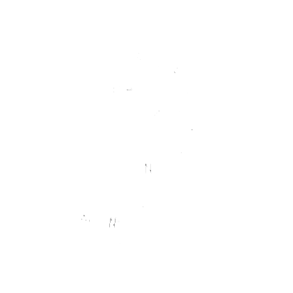 [CH2]C(CCN1CCC(N(C)C(C)=O)CC1)c1ccc(Cl)c(Cl)c1